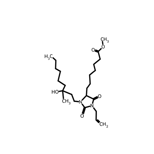 C=CCN1C(=O)C(CCCCCCC(=O)OC)N(CCC(C)(O)CCCCCC)C1=O